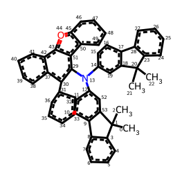 CC1(C)c2ccccc2-c2ccc(N(c3ccc4c(c3)C(C)(C)c3ccccc3-4)c3c(-c4ccccc4)c4ccccc4c4oc5ccccc5c34)cc21